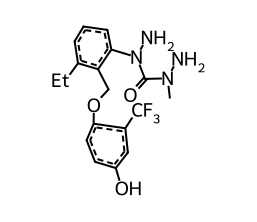 CCc1cccc(N(N)C(=O)N(C)N)c1COc1ccc(O)cc1C(F)(F)F